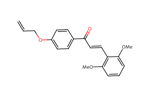 C=CCOc1ccc(C(=O)C=Cc2c(OC)cccc2OC)cc1